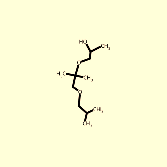 CC(C)COCC(C)(C)OCC(C)O